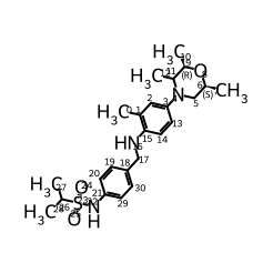 Cc1cc(N2C[C@H](C)O[C@H](C)C2C)ccc1NCc1ccc(NS(=O)(=O)C(C)C)cc1